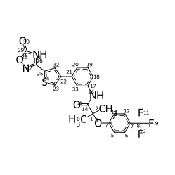 CC(C)(Oc1ccc(C(F)(F)F)cc1)C(=O)Nc1cccc(-c2csc(-c3noc(=O)[nH]3)c2)c1